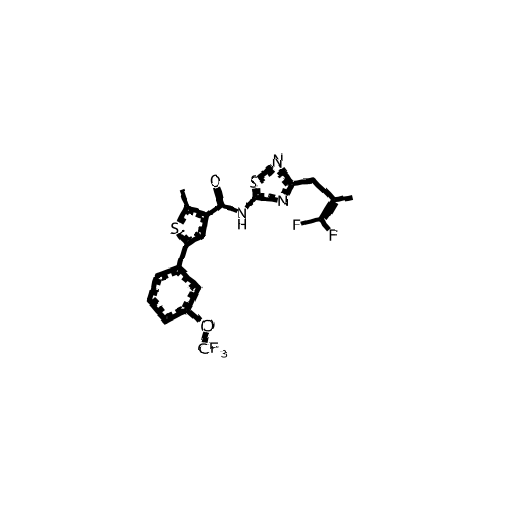 CC(Cc1nsc(NC(=O)c2cc(-c3cccc(OC(F)(F)F)c3)sc2C)n1)=C(F)F